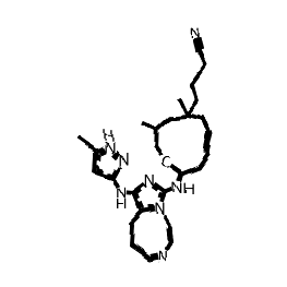 Cc1cc(Nc2nc(NC3C/C=C\CC(C)(CCCC#N)CC(C)CC3)n3c2CC/C=N\C=C/3)n[nH]1